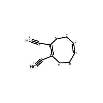 C#CC1=C(C#C)CCC=CCC1